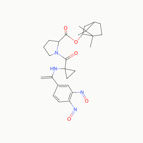 C=C(NC1(C(=O)N2CCCC2C(=O)OC2CC3CCC2(C)C3(C)C)CC1)c1ccc(N=O)c(N=O)c1